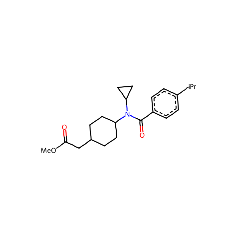 COC(=O)CC1CCC(N(C(=O)c2ccc(C(C)C)cc2)C2CC2)CC1